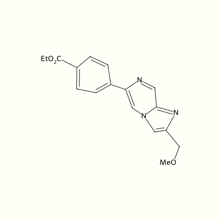 CCOC(=O)c1ccc(-c2cn3cc(COC)nc3cn2)cc1